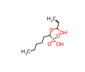 C=CC(O)OC(CCCCC)S(=O)(=O)O